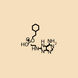 Nc1ncnc2nc(NCCP(=O)(O)OCCC3CCCCC3)[nH]c12